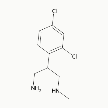 CNCC(CN)c1ccc(Cl)cc1Cl